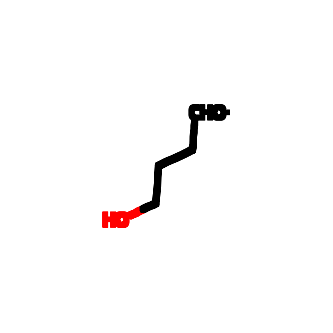 O=[C]CCCO